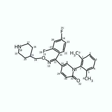 Cc1cccc(C)c1-n1cc(C(=NOCC2CCNCC2)c2ccc(F)cc2F)ccc1=O